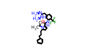 CC(C)n1c(CCCc2ccccc2)ccc1C(=O)Nc1cc(C/C(=N/N)NN)ccc1C(F)(F)F